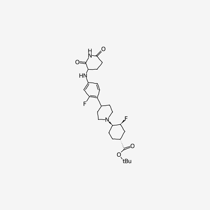 CC(C)(C)OC(=O)[C@@H]1CC[C@@H](N2CCC(c3ccc(NC4CCC(=O)NC4=O)cc3F)CC2)[C@@H](F)C1